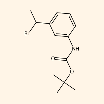 CC(Br)c1cccc(NC(=O)OC(C)(C)C)c1